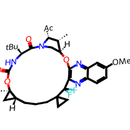 COc1ccc2nc3c(nc2c1)O[C@H]1CN(C(=O)[C@H](C(C)(C)C)NC(=O)O[C@]2(C)C[C@H]2CCCC2(CC2)C3(F)F)[C@H](C(C)=O)[C@@H]1C